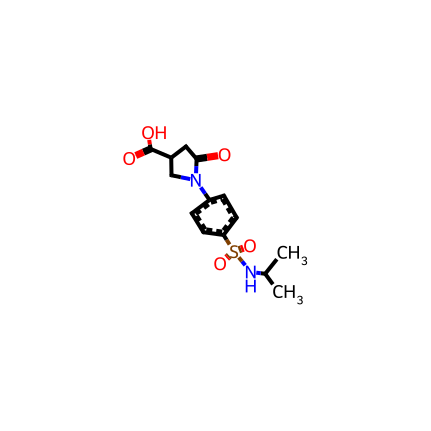 CC(C)NS(=O)(=O)c1ccc(N2CC(C(=O)O)CC2=O)cc1